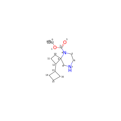 CC(C)(C)OC(=O)N1CCNCC12CCC2C1CCC1